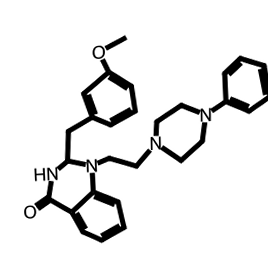 COc1cccc(CC2NC(=O)c3ccccc3N2CCN2CCN(c3ccccc3)CC2)c1